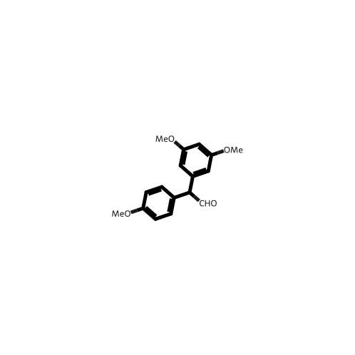 COc1ccc(C(C=O)c2cc(OC)cc(OC)c2)cc1